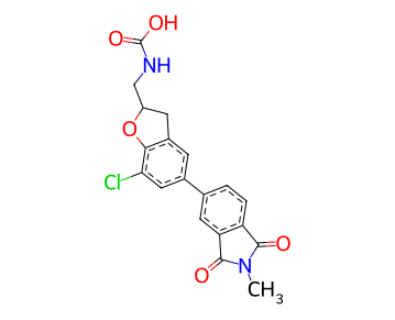 CN1C(=O)c2ccc(-c3cc(Cl)c4c(c3)CC(CNC(=O)O)O4)cc2C1=O